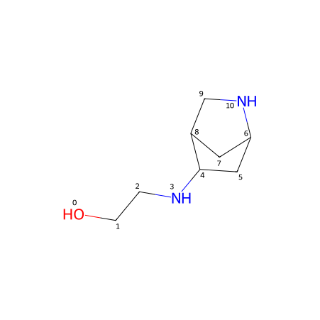 OCCNC1CC2CC1CN2